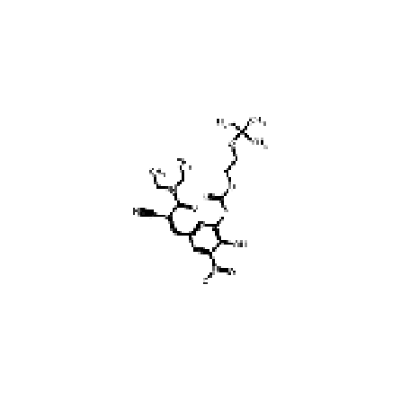 CCN(CC)C(=O)C(C#N)=Cc1cc(OC(=O)OCCOC(C)(C)C)c(O)c([N+](=O)[O-])c1